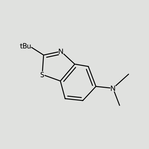 CN(C)c1ccc2sc(C(C)(C)C)nc2c1